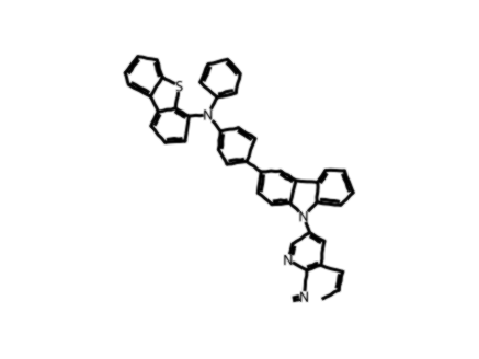 C=Nc1ncc(-n2c3ccccc3c3cc(-c4ccc(N(c5ccccc5)c5cccc6c5sc5ccccc56)cc4)ccc32)cc1/C=C\C